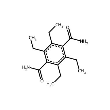 CCc1c(CC)c(C(N)=O)c(CC)c(CC)c1C(N)=O